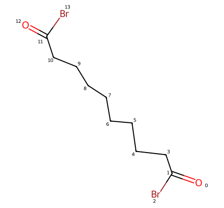 O=C(Br)CCCCCCCCC(=O)Br